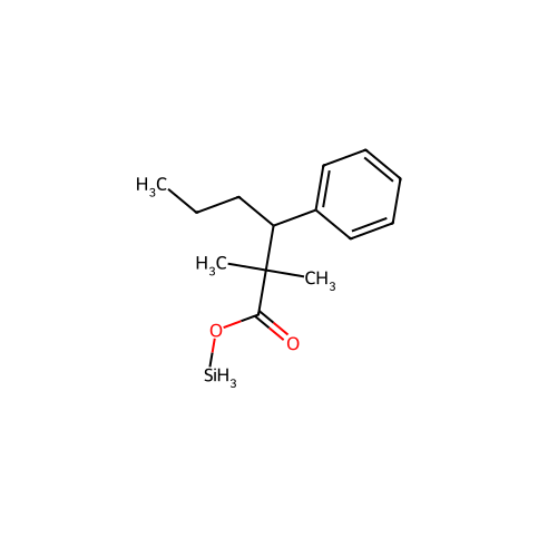 CCCC(c1ccccc1)C(C)(C)C(=O)O[SiH3]